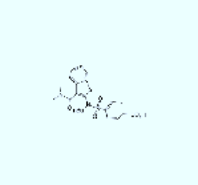 CCCCN(c1sc2ccccc2c1C(=O)N(C)C)S(=O)(=O)c1ccc(C(=O)O)cc1